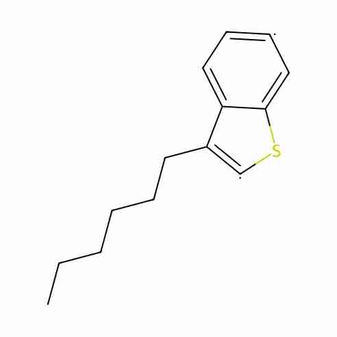 CCCCCCc1[c]sc2c[c]ccc12